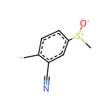 [CH2]c1ccc([S+](C)[O-])cc1C#N